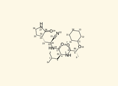 CC(C)C[C@H](NC(=O)[C@@H](C)OC1CCCCC1)C(=O)N[C@H](C#N)C[C@@H]1CCNC1=O